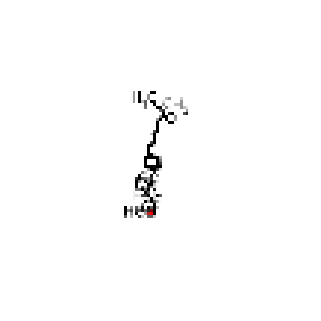 CCC(C)C(=O)CCCC=Cc1ccc(OS(=O)(=O)C(F)(F)C(F)(F)C(F)(F)S(=O)(=O)O)cc1